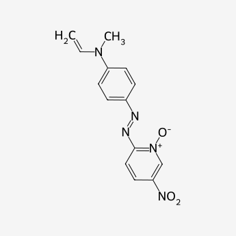 C=CN(C)c1ccc(/N=N/c2ccc([N+](=O)[O-])c[n+]2[O-])cc1